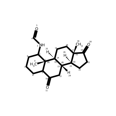 C[C@]12C(NC=O)CCCC1C(=O)C[C@@H]1[C@@H]2CC[C@]2(C)C(=O)CC[C@@H]12